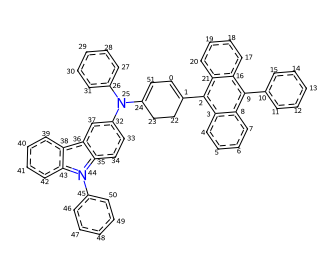 C1=C(c2c3ccccc3c(-c3ccccc3)c3ccccc23)CCC(N(c2ccccc2)c2ccc3c(c2)c2ccccc2n3-c2ccccc2)=C1